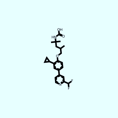 CC(COc1ccc(-c2ccnc(C(F)F)c2)cc1C1CC1)CC(C)(C)NC(=O)O